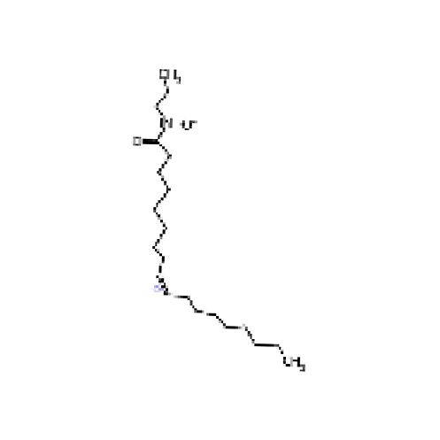 CCCCCCCC/C=C\CCCCCCCC(=O)[NH+]([O-])CCC